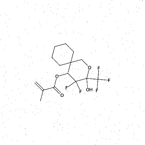 C=C(C)C(=O)OC1C2(CCCCC2)COC(O)(C(F)(F)F)C1(F)F